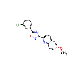 COc1ccc2nc(-c3noc(-c4cccc(Cl)c4)n3)ccc2c1